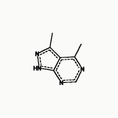 Cc1ncnc2[nH]nc(C)c12